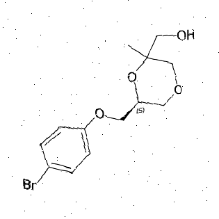 CC1(CO)COC[C@@H](COc2ccc(Br)cc2)O1